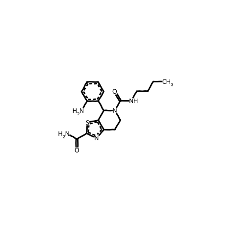 CCCCNC(=O)N1CCc2nc(C(N)=O)sc2C1c1ccccc1N